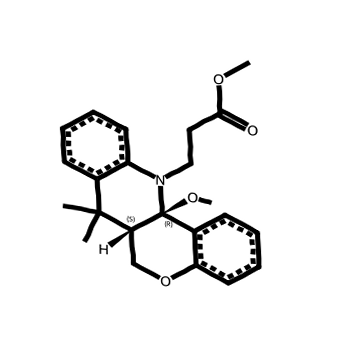 COC(=O)CCN1c2ccccc2C(C)(C)[C@H]2COc3ccccc3[C@]21OC